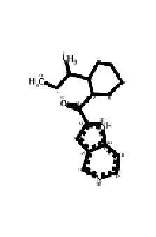 CCC(C)C1CCCCC1C(=O)c1cc2cnccc2[nH]1